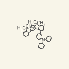 CC1(C)c2ccccc2-c2cc3c(cc21)C(C)(C)c1cccc(-c2cccc(N(c4ccccc4)c4ccccc4)c2)c1-3